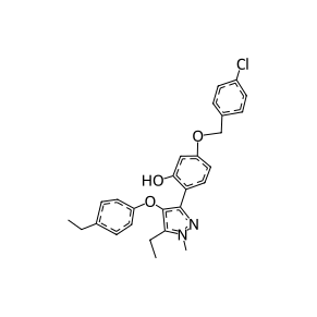 CCc1ccc(Oc2c(-c3ccc(OCc4ccc(Cl)cc4)cc3O)nn(C)c2CC)cc1